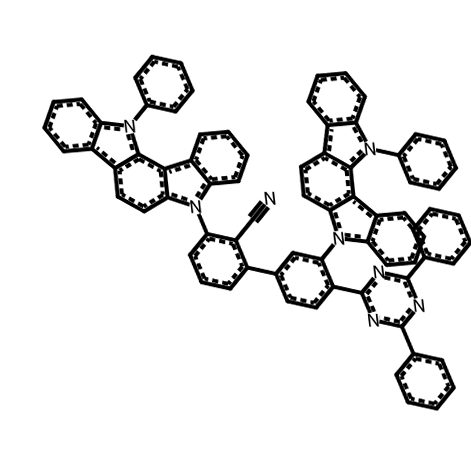 N#Cc1c(-c2ccc(-c3nc(-c4ccccc4)nc(-c4ccccc4)n3)c(-n3c4ccccc4c4c3ccc3c5ccccc5n(-c5ccccc5)c34)c2)cccc1-n1c2ccccc2c2c1ccc1c3ccccc3n(-c3ccccc3)c12